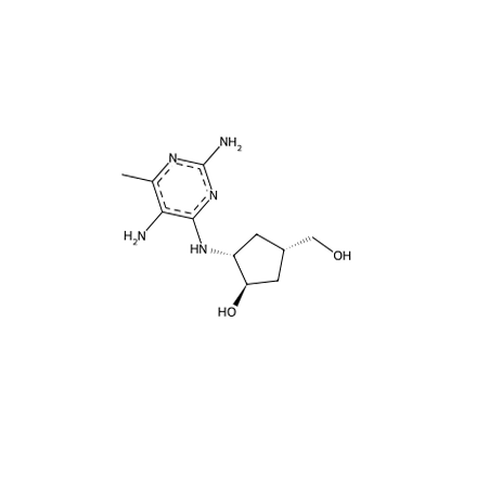 Cc1nc(N)nc(N[C@@H]2C[C@H](CO)C[C@H]2O)c1N